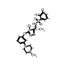 CCn1c(Oc2cccc(N3CCN(C)CC3)c2)nnc1[C@@H](C)NS(=O)(=O)c1cccc(Cl)c1F